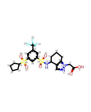 O=C(O)Cn1ncc2c1CCCC2NS(=O)(=O)c1cc(C(F)(F)F)cc(S(=O)(=O)C2CCCC2)c1